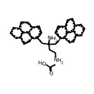 CC(=O)O.NCCC(N)(Cc1ccc2ccc3cccc4ccc1c2c34)Cc1ccc2ccc3cccc4ccc1c2c34